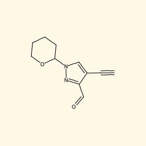 C#Cc1cn(C2CCCCO2)nc1C=O